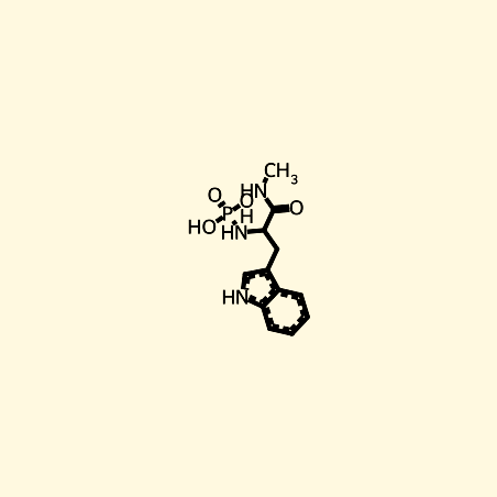 CNC(=O)C(Cc1c[nH]c2ccccc12)NP(=O)(O)O